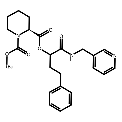 CC(C)(C)OC(=O)N1CCCC[C@H]1C(=O)OC(CCc1ccccc1)C(=O)NCc1cccnc1